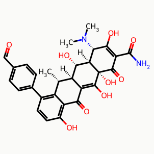 C[C@H]1c2c(-c3ccc(C=O)cc3)ccc(O)c2C(=O)C2=C(O)[C@]3(O)C(=O)C(C(N)=O)=C(O)[C@@H](N(C)C)[C@@H]3[C@@H](O)[C@@H]21